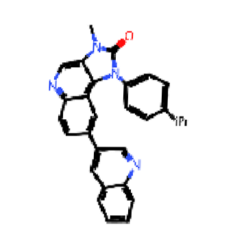 CC(C)c1ccc(-n2c(=O)n(C)c3cnc4ccc(-c5cnc6ccccc6c5)cc4c32)cc1